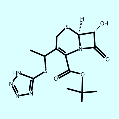 CC(Sc1nnn[nH]1)C1=C(C(=O)OC(C)(C)C)N2C(=O)[C@@H](O)[C@@H]2SC1